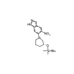 CC(C)(C)[Si](C)(C)O[C@@H]1CCCN(c2cc3[nH]ncc3cc2[N+](=O)[O-])C1